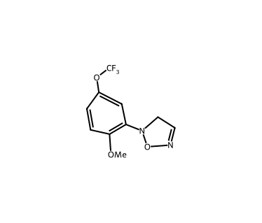 COc1ccc(OC(F)(F)F)cc1N1CC=NO1